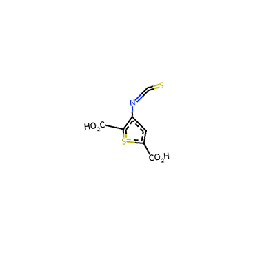 O=C(O)c1cc(N=C=S)c(C(=O)O)s1